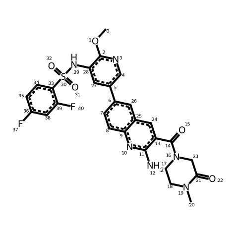 COc1ncc(-c2ccc3nc(N)c(C(=O)N4CCN(C)C(=O)C4)cc3c2)cc1NS(=O)(=O)c1ccc(F)cc1F